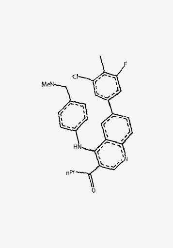 CCCC(=O)c1cnc2ccc(-c3cc(F)c(C)c(Cl)c3)cc2c1Nc1ccc(CNC)cc1